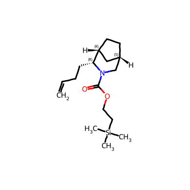 C=CCC[C@@H]1[C@@H]2CC[C@@H](C2)CN1C(=O)OCC[Si](C)(C)C